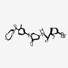 Cc1cc(N2C[C@H](NC(=O)c3ccc(Br)s3)CC2=O)ccc1C(=O)N1CCSC1